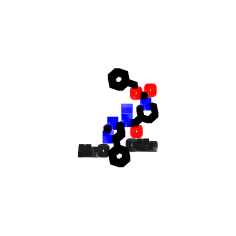 COc1cccc(OC)c1-c1cc(NC(=O)C2CCCN(C(=O)OCc3ccccc3)C2)ncn1